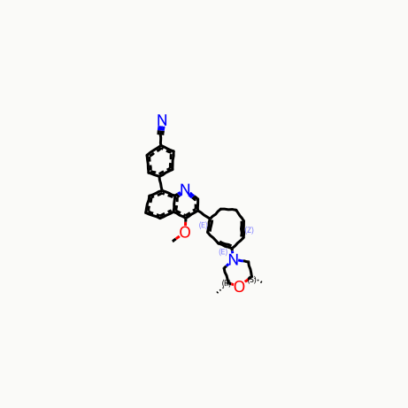 COc1c(/C2=C/C=C(N3C[C@@H](C)O[C@@H](C)C3)\C=C/CC2)cnc2c(-c3ccc(C#N)cc3)cccc12